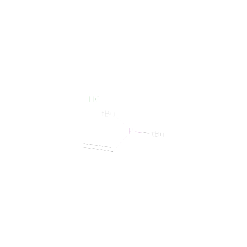 C=CP(C(C)(C)C)C(C)(C)C.Cl